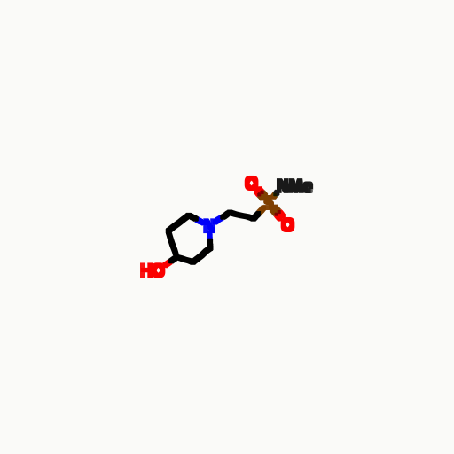 CNS(=O)(=O)CCN1CCC(O)CC1